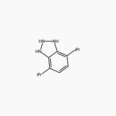 CC(C)c1ccc(C(C)C)c2c1NNN2